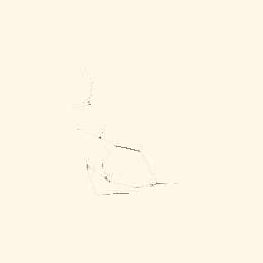 C=CC(=O)OC1(CCCC)C2CC3CC1CC(OCCC)(C3)C2